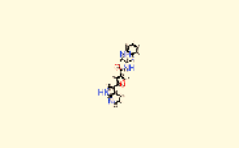 NCC(Cc1ccccc1)NC(=O)c1coc(-c2c[nH]c3ncccc23)c1